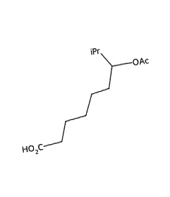 CC(=O)OC(CCCCCC(=O)O)C(C)C